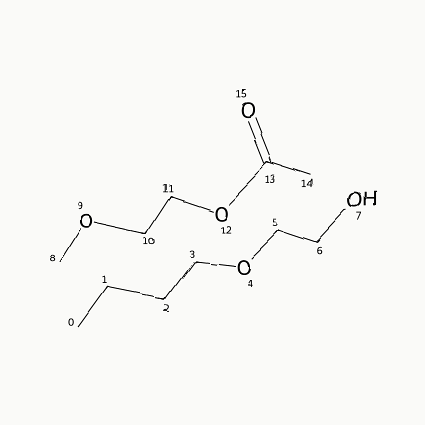 CCCCOCCO.COCCOC(C)=O